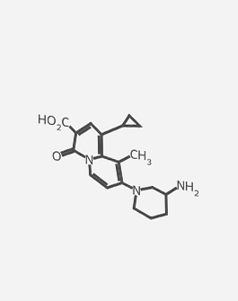 Cc1c(N2CCCC(N)C2)ccn2c(=O)c(C(=O)O)cc(C3CC3)c12